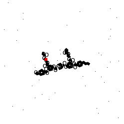 C=CC(=O)OCCOC(=O)c1cc(OC(=O)N2CCN(C(=O)Oc3ccc(OC(=O)C4CCC(CCCC)CC4)c(C(=O)OCCOC(=O)C=C)c3)CC2)ccc1OC(=O)C1CCC(C=O)CC1